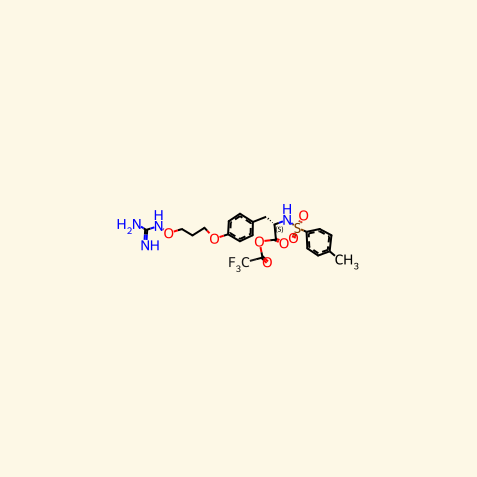 Cc1ccc(S(=O)(=O)N[C@@H](Cc2ccc(OCCCONC(=N)N)cc2)C(=O)OC(=O)C(F)(F)F)cc1